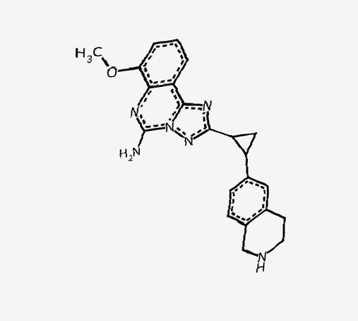 COc1cccc2c1nc(N)n1nc(C3CC3c3ccc4c(c3)CCNC4)nc21